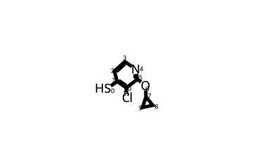 Sc1ccnc(OC2CC2)c1Cl